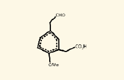 COc1ccc(CC=O)cc1CC(=O)O